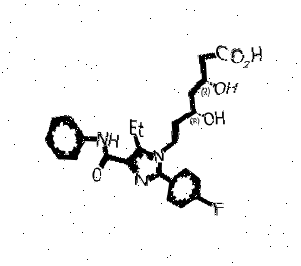 CCc1c(C(=O)Nc2ccccc2)nc(-c2ccc(F)cc2)n1CC[C@@H](O)C[C@@H](O)CC(=O)O